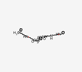 CN(CCCCCCNCCCCCC(=O)OCC1OC(n2ccc(NC(=O)CCCCCNCCCCCCNCc3ccccc3)nc2=O)CS1)c1ccccc1